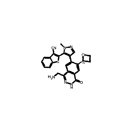 Cn1ncc(-c2cc3c(CN)n[nH]c(=O)c3cc2[C@@H]2CCO2)c1-c1sc2ccccc2c1C#N